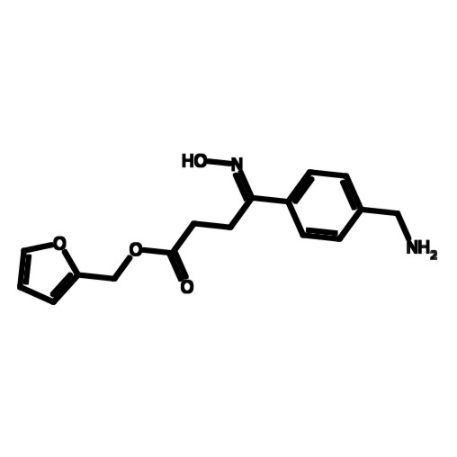 NCc1ccc(/C(CCC(=O)OCc2ccco2)=N/O)cc1